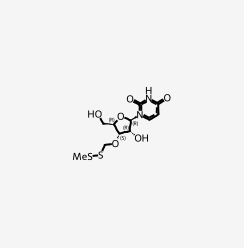 CSSCO[C@H]1[C@@H](O)[C@H](n2ccc(=O)[nH]c2=O)O[C@@H]1CO